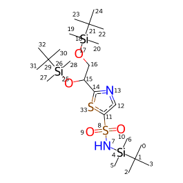 CC(C)(C)[Si](C)(C)NS(=O)(=O)c1cnc(C(CO[Si](C)(C)C(C)(C)C)O[Si](C)(C)C(C)(C)C)s1